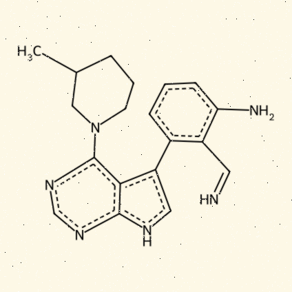 CC1CCCN(c2ncnc3[nH]cc(-c4cccc(N)c4C=N)c23)C1